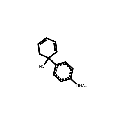 CC(=O)Nc1ccc(C2(C#N)C=CC=CC2)cc1